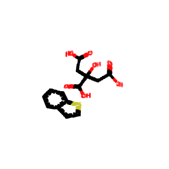 O=C(O)CC(O)(CC(=O)O)C(=O)O.c1ccc2sccc2c1